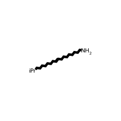 CC(C)CCCCCCCC=CCCCCCCCCN